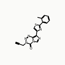 C#CCn1nnc2c(-c3csc(-c4ccccc4C)n3)ncn2c1=O